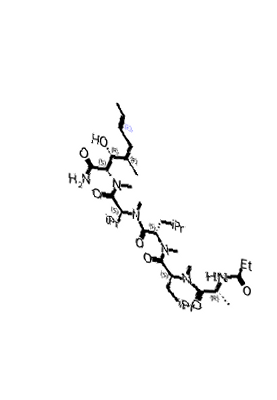 C/C=C/C[C@@H](C)[C@@H](O)[C@@H](C(N)=O)N(C)C(=O)[C@H](C(C)C)N(C)C(=O)[C@H](CC(C)C)N(C)C(=O)[C@H](CC(C)C)N(C)C(=O)[C@@H](C)NC(=O)CC